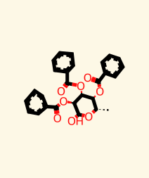 C[C@@H]1OC(O)[C@@H](OC(=O)c2ccccc2)[C@H](OC(=O)c2ccccc2)[C@@H]1OC(=O)c1ccccc1